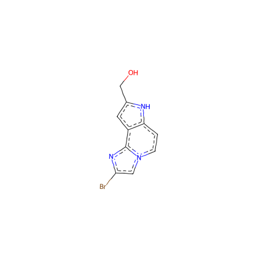 OCc1cc2c(ccn3cc(Br)nc23)[nH]1